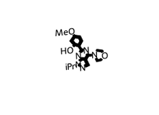 COc1ccc(-c2nc(N3CCOCC3)c3cnn(C(C)C)c3n2)c(O)c1